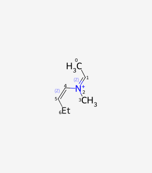 C/C=[N+](C)\C=C/CC